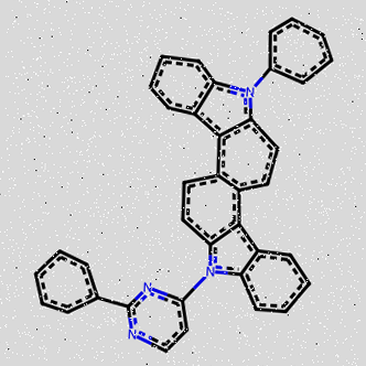 c1ccc(-c2nccc(-n3c4ccccc4c4c5ccc6c(c5ccc43)c3ccccc3n6-c3ccccc3)n2)cc1